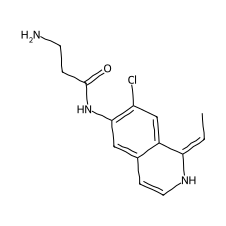 C/C=C1/NC=Cc2cc(NC(=O)CCN)c(Cl)cc21